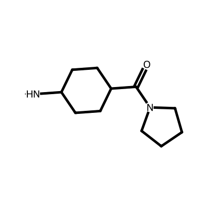 [NH]C1CCC(C(=O)N2CCCC2)CC1